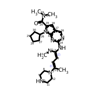 C=N/C(=C\C=C(/C)N1CCNCC1)Nc1ncc2cc(C(=O)N(C)C)n(C3CCCC3)c2n1